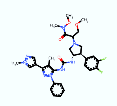 COCC(C(=O)N(C)OC)N1C[C@@H](NC(=O)Nc2c(C)c(-c3cnn(C)c3)nn2-c2ccccc2)[C@H](c2ccc(F)c(F)c2)C1